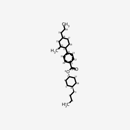 CCCC[C@H]1CC[C@H](OC(=O)c2ccc(C3CCC(CCC)CC3C)cc2)CC1